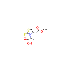 CCOC(=O)Cc1csc(=S)n1C(C)C(=O)O